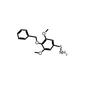 COc1cc(SN)cc(OC)c1OCc1ccccc1